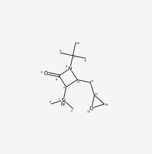 C[SiH](C)C1C(=O)N(C(C)(C)C)C1CC1CO1